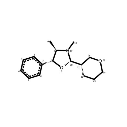 C[C@@H]1[C@@H](c2ccccc2)O[C@@H]([C@H]2CCCOC2)N1C